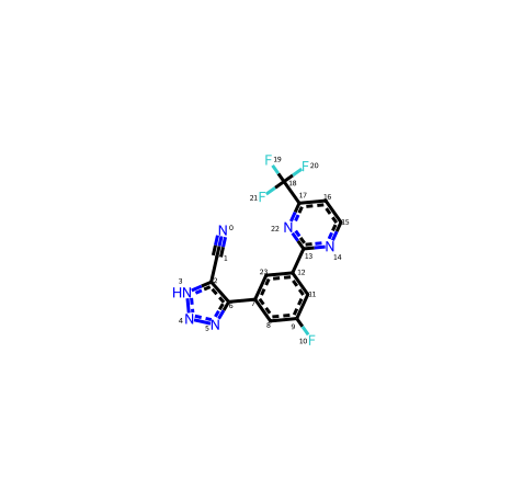 N#Cc1[nH]nnc1-c1cc(F)cc(-c2nccc(C(F)(F)F)n2)c1